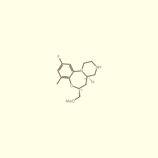 COC[C@@H]1C[C@@H]2CNCCN2c2cc(F)cc(C)c2O1